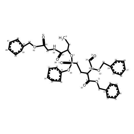 CCC(OP(=O)(CCC(C(=O)OCc1ccccc1)N(C=O)OCc1ccccc1)Oc1ccccc1)C(=O)NCC(=O)OCc1ccccc1